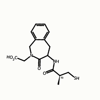 C[C@H](CS)C(=O)NC1Cc2ccccc2CN(CC(=O)O)C1=O